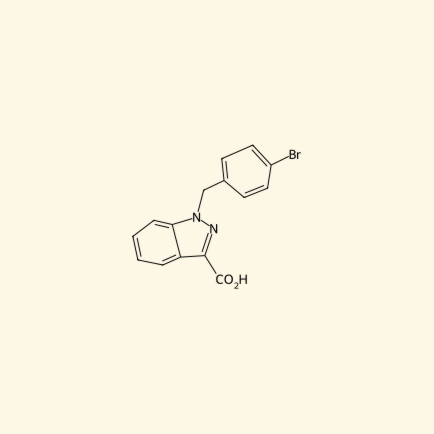 O=C(O)c1nn(Cc2ccc(Br)cc2)c2ccccc12